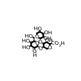 O=C(O)C1OCC(O[C@@H]2O[C@H](CO)[C@H](O)[C@H](O)[C@H]2O)C(O[C@@H]2OC[C@@H](O)[C@H](O)[C@H]2O)C1O